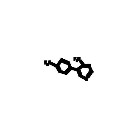 FC(F)(F)c1ccc(-c2cn[c]nc2C(F)(F)F)cc1